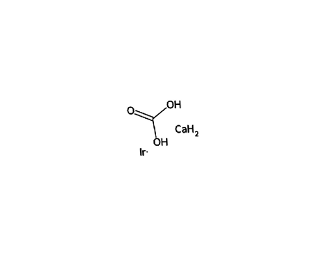 O=C(O)O.[CaH2].[Ir]